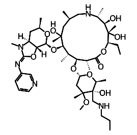 CCCNC[C@]1(O)[C@H](C)O[C@@H](O[C@H]2[C@H](C)[C@@H](O[C@@H]3O[C@H](C)C[C@H]4[C@H]3O/C(=N\c3cccnc3)N4C)[C@](C)(O)C[C@@H](C)CN[C@H](C)[C@@H](O)[C@](C)(O)[C@@H](CC)OC(=O)[C@@H]2C)C[C@@]1(C)OC